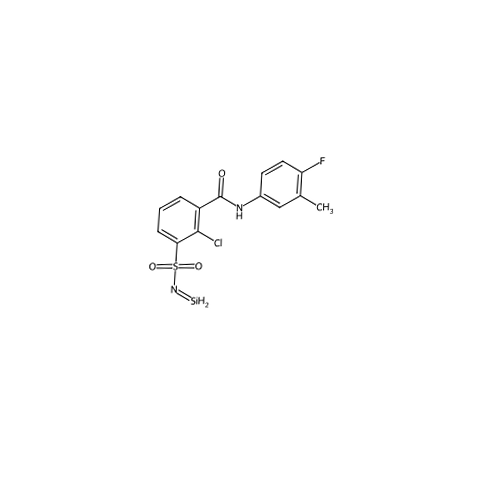 Cc1cc(NC(=O)c2cccc(S(=O)(=O)N=[SiH2])c2Cl)ccc1F